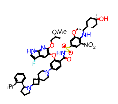 CO[C@H](C)COc1nc2[nH]cc(F)c2cc1Oc1cc(N2CCC3(CC2)CC(N2CCC[C@H]2c2ccccc2C(C)C)C3)ccc1C(=O)NS(=O)(=O)c1cc2c(c([N+](=O)[O-])c1)N[C@@H]([C@H]1CC[C@](C)(O)CC1)CO2